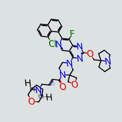 O=C(/C=C/CN1[C@@H]2CC[C@H]1COC2)N1CCN(c2nc(OCC34CCCN3CCC4)nc3c(F)c(-c4cccc5cccc(Cl)c45)ncc23)CC12COC2